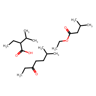 CCC(=O)CCC(C)C.CCC(C(=O)O)C(C)C.CCOC(=O)CC(C)C